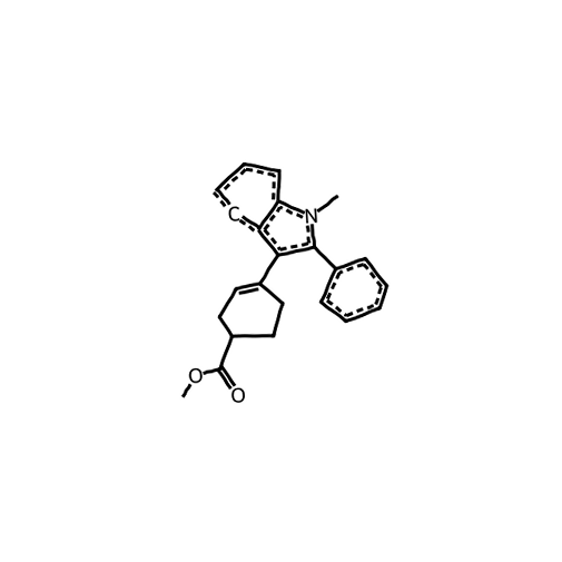 COC(=O)C1CC=C(c2c(-c3ccccc3)n(C)c3ccccc23)CC1